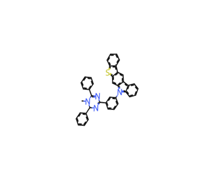 CN1C(c2ccccc2)=NC(c2cccc(-n3c4ccccc4c4cc5c(cc43)sc3ccccc35)c2)=NC1c1ccccc1